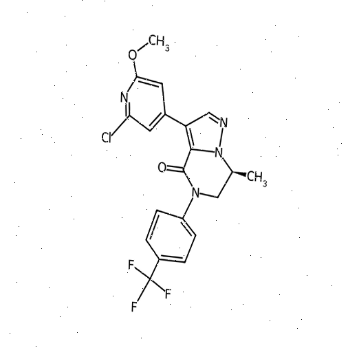 COc1cc(-c2cnn3c2C(=O)N(c2ccc(C(F)(F)F)cc2)C[C@@H]3C)cc(Cl)n1